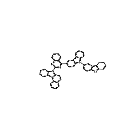 C1=Cc2oc3ccc(-n4c5ccccc5c5cc(-c6nc(-n7c8ccccc8c8c9ccccc9ccc87)nc7ccccc67)ccc54)cc3c2CC1